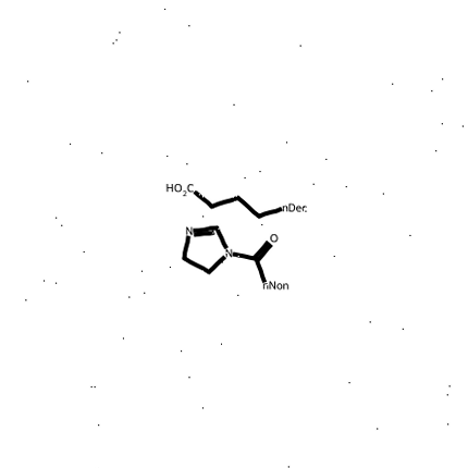 CCCCCCCCCC(=O)N1C=NCC1.CCCCCCCCCCCCCC(=O)O